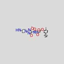 CNC1CCN(c2nc(OC)c(NC(=O)C3OC(Oc4cc([Si](C)(C)C)ccc4C)=CC3=O)c(OC)n2)CC1